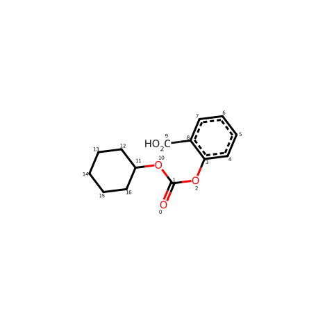 O=C(Oc1ccccc1C(=O)O)OC1CCCCC1